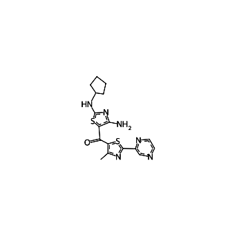 Cc1nc(-c2cnccn2)sc1C(=O)c1sc(NC2CCCC2)nc1N